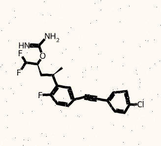 C[C@H](C[C@H](OC(=N)N)C(F)F)c1cc(C#Cc2ccc(Cl)cc2)ccc1F